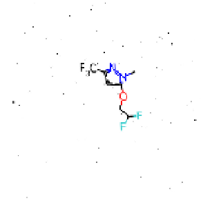 Cn1nc(C(F)(F)F)[c]c1OCC(F)F